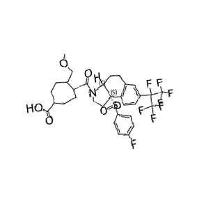 COCC1CCC(C(=O)O)CCC1C(=O)N1CC[C@]2(S(=O)(=O)c3ccc(F)cc3)c3ccc(C(F)(C(F)(F)F)C(F)(F)F)cc3CC[C@H]12